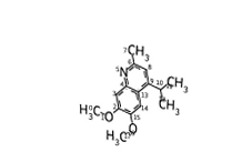 COc1cc2nc(C)cc(C(C)C)c2cc1OC